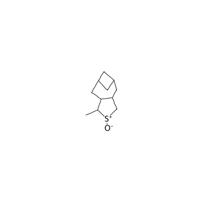 CC1C2CC3CC(C3)CC2C[S@+]1[O-]